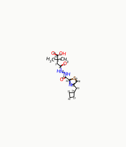 CC(C)(CC(=O)NNC(=O)c1nc(CC2CCC2)cs1)C(=O)O